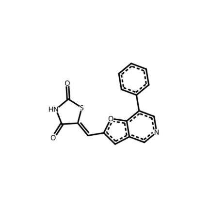 O=C1NC(=O)C(=Cc2cc3cncc(-c4ccccc4)c3o2)S1